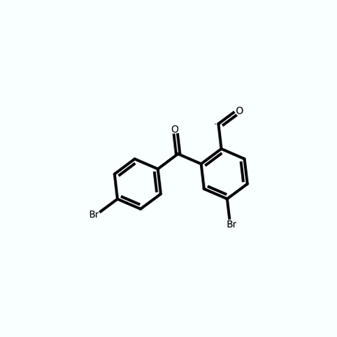 O=[C]c1ccc(Br)cc1C(=O)c1ccc(Br)cc1